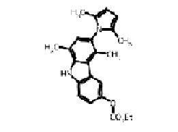 CCOC(=O)Oc1ccc2[nH]c3c(C)cc(-n4c(C)ccc4C)c(C)c3c2c1